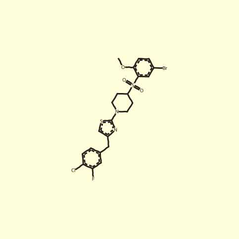 COc1ccc(Br)cc1S(=O)(=O)C1CCN(c2nc(Cc3ccc(Cl)c(F)c3)cs2)CC1